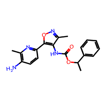 Cc1nc(-c2onc(C)c2NC(=O)OC(C)c2ccccc2)ccc1N